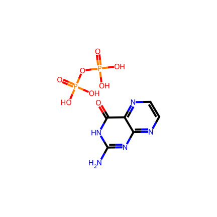 Nc1nc2nccnc2c(=O)[nH]1.O=P(O)(O)OP(=O)(O)O